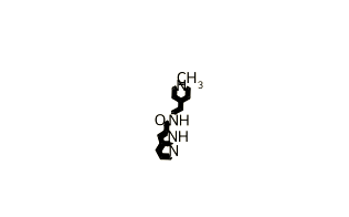 CN1CCC(CCNC(=O)c2cc3cccnc3[nH]2)CC1